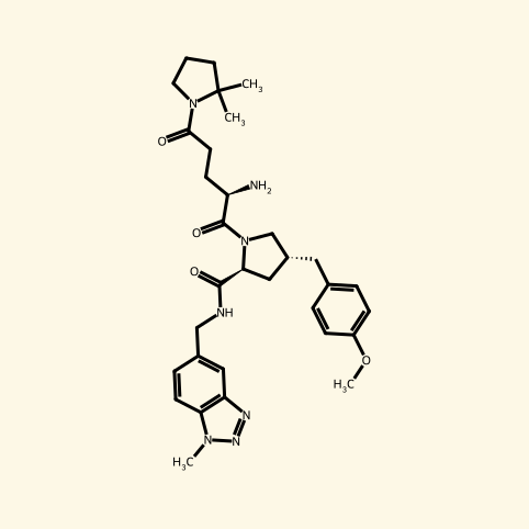 COc1ccc(C[C@@H]2C[C@@H](C(=O)NCc3ccc4c(c3)nnn4C)N(C(=O)[C@H](N)CCC(=O)N3CCCC3(C)C)C2)cc1